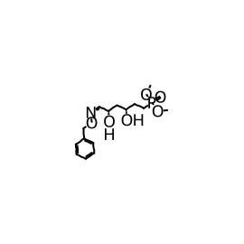 COP(=O)(CC[C@@H](O)C[C@@H](O)/C=N\OCc1ccccc1)OC